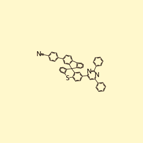 N#Cc1ccc(-c2ccc3c(c2)C2(c4ccccc4Sc4ccc(-c5cc(-c6ccccc6)nc(-c6ccccc6)n5)cc42)c2ccccc2-3)cc1